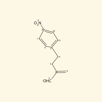 C=C([C]=O)CCc1ccc([N+](=O)[O-])cc1